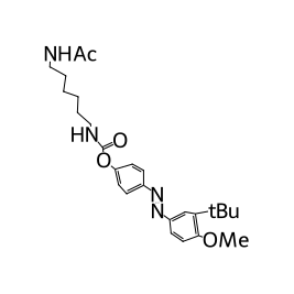 COc1ccc(N=Nc2ccc(OC(=O)NCCCCCCNC(C)=O)cc2)cc1C(C)(C)C